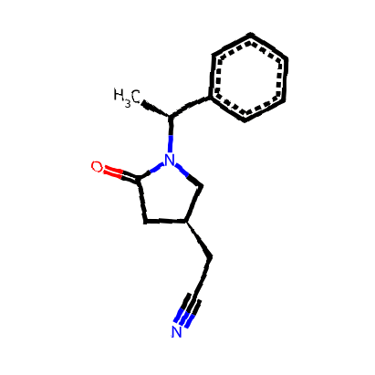 C[C@@H](c1ccccc1)N1C[C@@H](CC#N)CC1=O